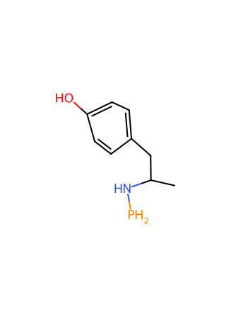 CC(Cc1ccc(O)cc1)NP